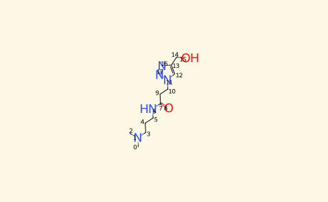 CN(C)CCCNC(=O)CCn1cc(CO)nn1